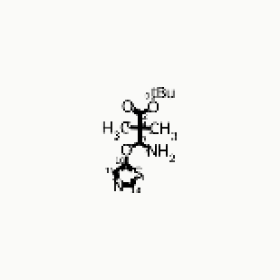 CC(C)(C)OC(=O)C(C)(C)C(N)Oc1cncs1